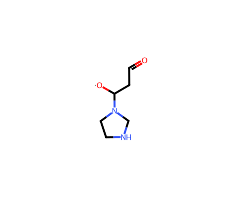 [O]C(CC=O)N1CCNC1